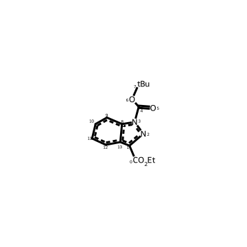 CCOC(=O)c1nn(C(=O)OC(C)(C)C)c2ccccc12